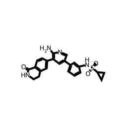 Nc1ncc(-c2cccc(NS(=O)(=O)C3CC3)c2)cc1-c1ccc2c(c1)CCNC2=O